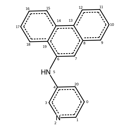 c1cncc(Nc2cc3ccccc3c3ccccc23)c1